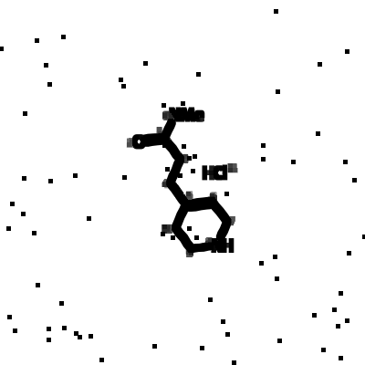 CNC(=O)CCC1=CCNCC1.Cl